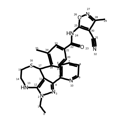 CCn1nc(-c2ccccn2)c2c1NCCSC2c1ccc(C(=O)Nc2onc(C)c2C#N)cc1C